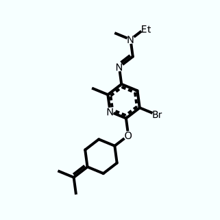 CCN(C)/C=N/c1cc(Br)c(OC2CCC(=C(C)C)CC2)nc1C